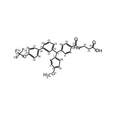 COc1ccc(C(c2ccc(C(=O)NCCC(=O)O)cc2)c2cccc(-c3ccc(OC(F)(F)F)cc3)c2)cc1